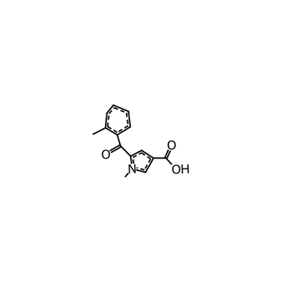 Cc1ccccc1C(=O)c1cc(C(=O)O)cn1C